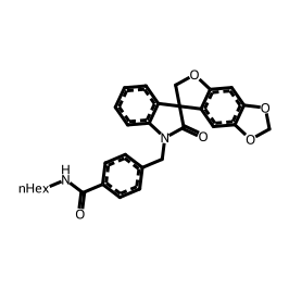 CCCCCCNC(=O)c1ccc(CN2C(=O)C3(COc4cc5c(cc43)OCO5)c3ccccc32)cc1